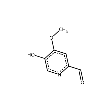 COc1cc(C=O)ncc1O